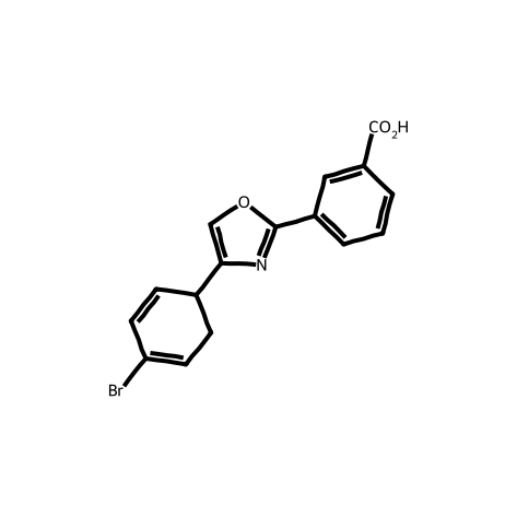 O=C(O)c1cccc(-c2nc(C3C=CC(Br)=CC3)co2)c1